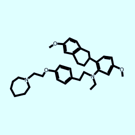 CCN(CCc1ccc(OCCN2CCCCCC2)cc1)c1cc(OC)ccc1C1CCc2cc(OC)ccc2C1